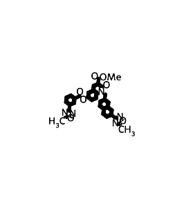 COC(=O)c1cc2cc(OC(=O)c3cccc(-c4noc(C)n4)c3)ccc2n(Cc2ccc3ccc(-c4noc(C)n4)cc3c2)c1=O